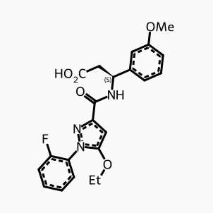 CCOc1cc(C(=O)N[C@@H](CC(=O)O)c2cccc(OC)c2)nn1-c1ccccc1F